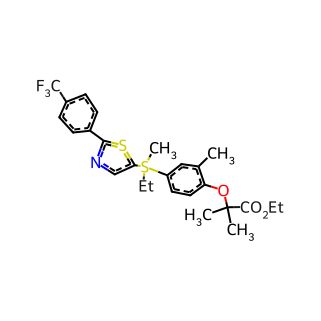 CCOC(=O)C(C)(C)Oc1ccc(S(C)(CC)c2cnc(-c3ccc(C(F)(F)F)cc3)s2)cc1C